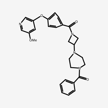 COc1cncc(Oc2ccc(C(=O)N3CC(N4CCN(C(=O)c5ccccc5)CC4)C3)cc2)c1